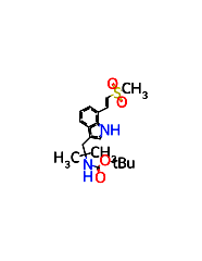 CC(C)(Cc1c[nH]c2c(C=CS(C)(=O)=O)cccc12)NC(=O)OC(C)(C)C